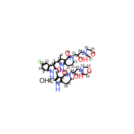 Cc1c(C=C2C(=O)Nc3ccc(F)cc32)[nH]c2c1C(=O)N(CC(O)CN1CCOCC1)CCC2.Cc1c(C=O)[nH]c2c1C(=O)N(CC(O)CN1CCOCC1)CCC2